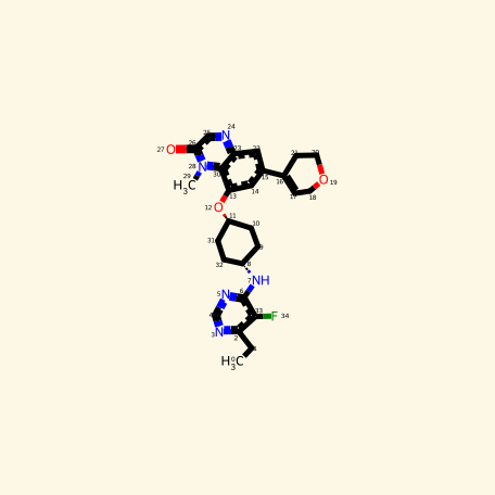 CCc1ncnc(N[C@H]2CC[C@@H](Oc3cc(C4=CCOCC4)cc4ncc(=O)n(C)c34)CC2)c1F